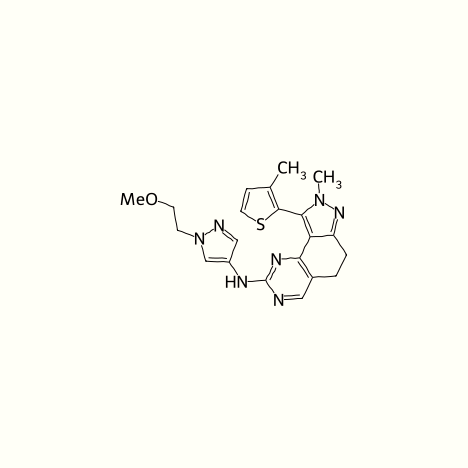 COCCn1cc(Nc2ncc3c(n2)-c2c(nn(C)c2-c2sccc2C)CC3)cn1